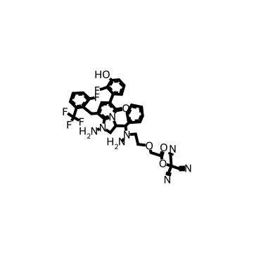 N#CC(C#N)(C#N)OC(=O)COCCN(N)C(c1ccccc1)C1CN(N)c2c(Cc3c(F)cccc3C(F)(F)F)cc(-c3cccc(O)c3F)c(=O)n21